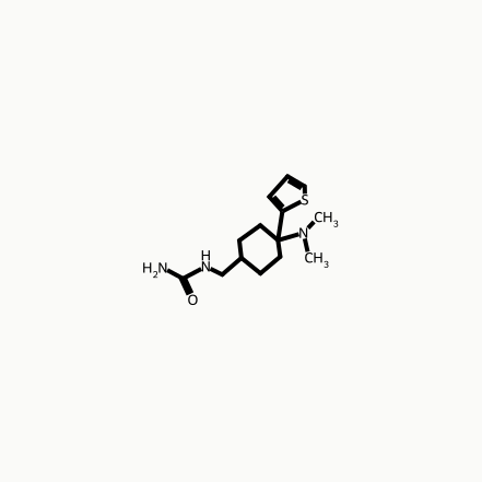 CN(C)C1(c2cccs2)CCC(CNC(N)=O)CC1